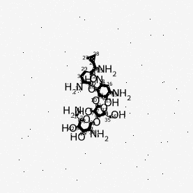 NC[C@@H]1O[C@H](O[C@H]2[C@@H](O)[C@H](O[C@@H]3[C@@H](O)[C@H](N)C[C@H](N)[C@H]3O[C@H]3O[C@H]([C@@H](N)C4CC4)CC[C@H]3N)O[C@@H]2CO)[C@H](N)[C@@H](O)[C@@H]1O